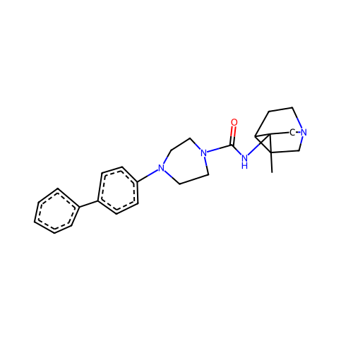 CC1(NC(=O)N2CCN(c3ccc(-c4ccccc4)cc3)CC2)CN2CCC1CC2